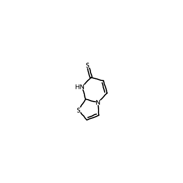 S=C1C=CN2C=CSC2N1